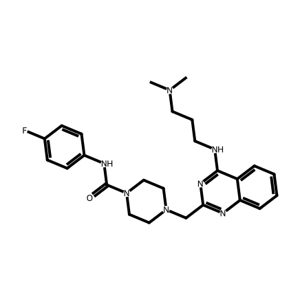 CN(C)CCCNc1nc(CN2CCN(C(=O)Nc3ccc(F)cc3)CC2)nc2ccccc12